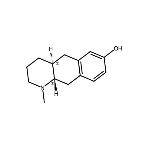 CN1CCC[C@H]2Cc3cc(O)ccc3C[C@@H]21